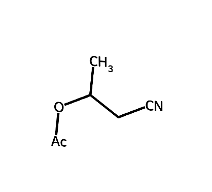 CC(=O)OC(C)CC#N